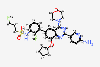 Nc1ccc(-c2nc(N3CCOCC3)c3cc(-c4cccc(NS(=O)(=O)CCCF)c4F)cc(OC4CCCC4)c3n2)cn1